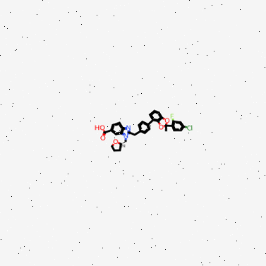 CC1(c2ccc(Cl)cc2F)Oc2cccc(-c3ccc(Cc4nc5ccc(C(=O)O)cc5n4C[C@@H]4CCCO4)cc3)c2O1